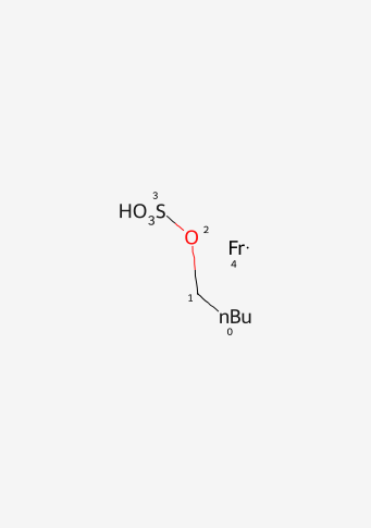 CCCCCOS(=O)(=O)O.[Fr]